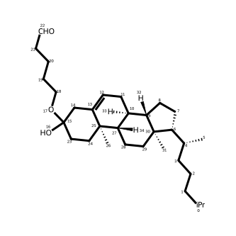 CC(C)CCC[C@@H](C)[C@H]1CC[C@H]2[C@@H]3CC=C4CC(O)(OCCCCC=O)CC[C@]4(C)[C@H]3CC[C@]12C